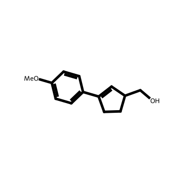 COc1ccc(C2=CC(CO)CC2)cc1